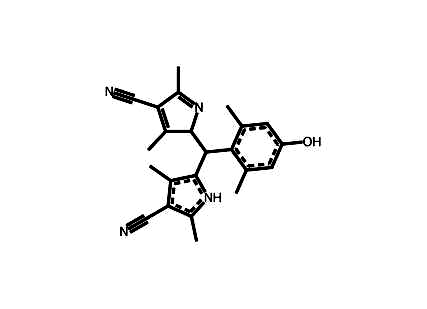 CC1=NC(C(c2[nH]c(C)c(C#N)c2C)c2c(C)cc(O)cc2C)C(C)=C1C#N